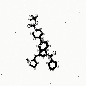 CN1CCCC1Cc1cn(C(=O)c2ccccc2)c2ccc(C3=CCN(C(=O)OC(C)(C)C)CC3)cc12